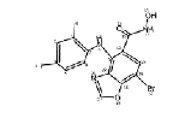 Cc1cc(I)ccc1Nc1c(C(=O)NO)cc(Br)c2ocnc12